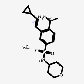 C[C@H](N)c1ccc(S(=O)(=O)NC2CCOCC2)cc1/C=C/C1CC1.Cl